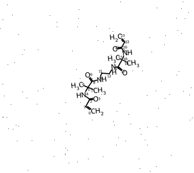 C=CC(=O)NC(C)(C)C(=O)NCCNC(=O)C(C)(C)NC(=O)C=C